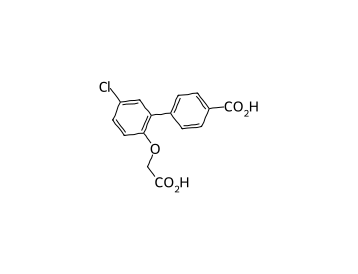 O=C(O)COc1ccc(Cl)cc1-c1ccc(C(=O)O)cc1